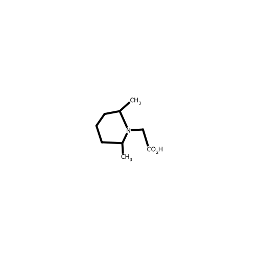 CC1CCCC(C)N1CC(=O)O